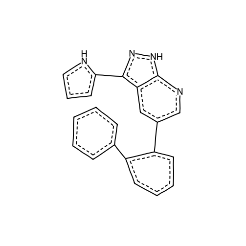 c1ccc(-c2ccccc2-c2cnc3[nH]nc(-c4ccc[nH]4)c3c2)cc1